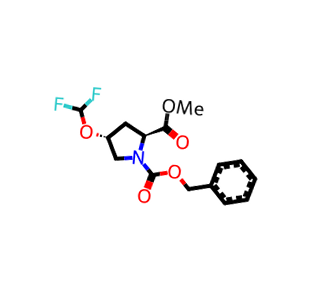 COC(=O)[C@@H]1C[C@@H](OC(F)F)CN1C(=O)OCc1ccccc1